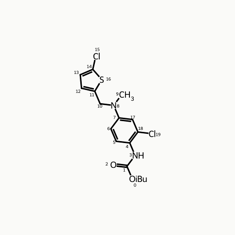 CC(C)COC(=O)Nc1ccc(N(C)Cc2ccc(Cl)s2)cc1Cl